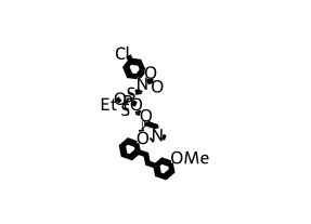 CCOP(=S)(OCO[C@@H](COc1ccccc1CCc1cccc(OC)c1)CN(C)C)SCn1c(=O)oc2cc(Cl)ccc21